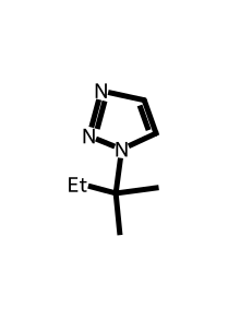 CCC(C)(C)n1ccnn1